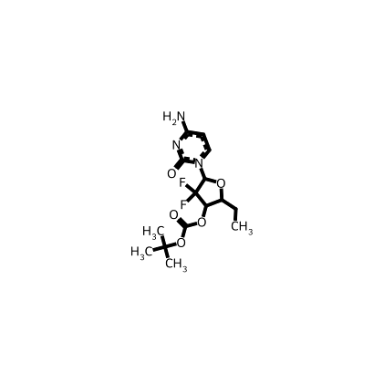 CCC1OC(n2ccc(N)nc2=O)C(F)(F)C1OC(=O)OC(C)(C)C